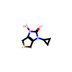 O=c1n(O)c2c(n1C1CC1)CSC2